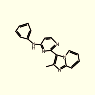 Cc1nc2ccccn2c1-c1nccc(Nc2ccccc2)n1